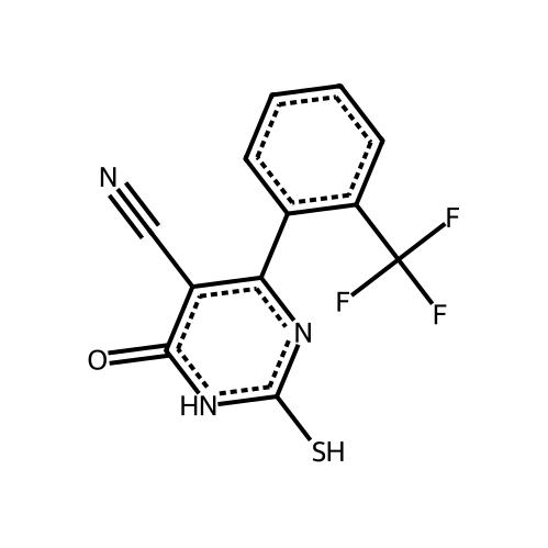 N#Cc1c(-c2ccccc2C(F)(F)F)nc(S)[nH]c1=O